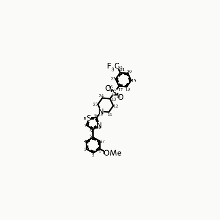 COc1cccc(-c2csc(N3CCC(S(=O)(=O)c4cccc(C(F)(F)F)c4)CC3)n2)c1